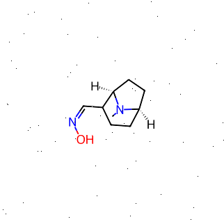 CN1[C@@H]2CCC(/C=N\O)[C@H]1CC2